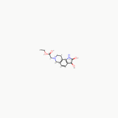 CCOC(=O)CN1CCc2c(ccc3c2NC(=O)C3=O)C1